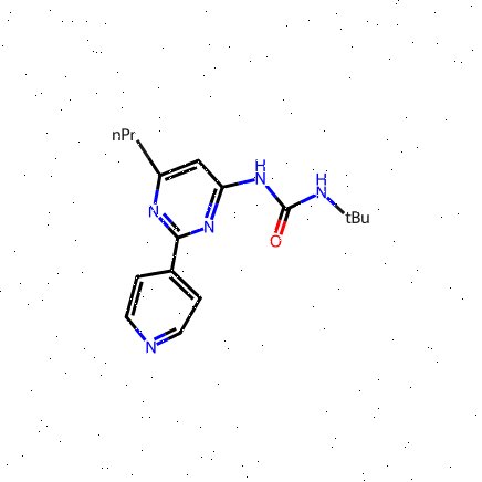 CCCc1cc(NC(=O)NC(C)(C)C)nc(-c2ccncc2)n1